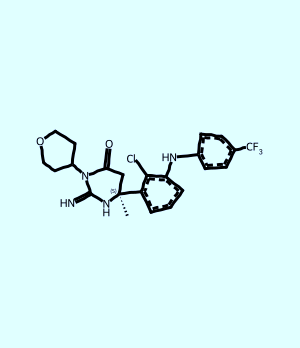 C[C@@]1(c2cccc(Nc3ccc(C(F)(F)F)cc3)c2Cl)CC(=O)N(C2CCOCC2)C(=N)N1